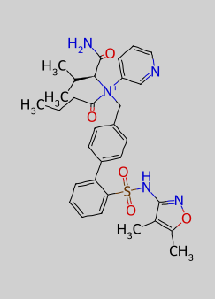 CCCC(=O)[N+](Cc1ccc(-c2ccccc2S(=O)(=O)Nc2noc(C)c2C)cc1)(c1cccnc1)[C@H](C(N)=O)C(C)C